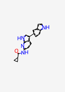 O=C(Nc1ccc2c(-c3ccc4[nH]ccc4c3)c[nH]c2n1)C1CC1